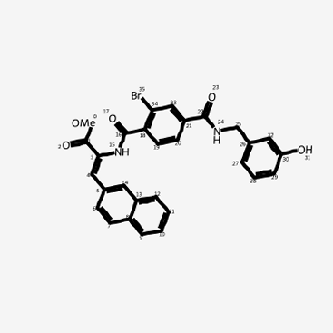 COC(=O)C(=Cc1ccc2ccccc2c1)NC(=O)c1ccc(C(=O)NCc2cccc(O)c2)cc1Br